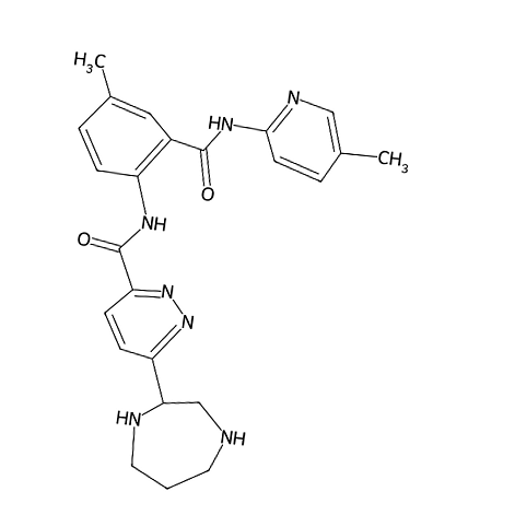 Cc1ccc(NC(=O)c2cc(C)ccc2NC(=O)c2ccc(C3CNCCCN3)nn2)nc1